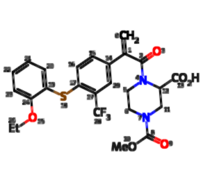 C=C(C(=O)N1CCN(C(=O)OC)CC1C(=O)O)c1ccc(Sc2ccccc2OCC)c(C(F)(F)F)c1